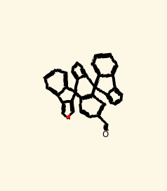 O=Cc1ccc2c(c1)C1(c3ccccc3-c3ccccc31)c1ccccc1C21c2ccccc2-c2ccccc21